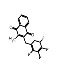 CC1=C(CC2=C(F)C(F)=C(F)C(F)C2)C(=O)c2ccccc2C1=O